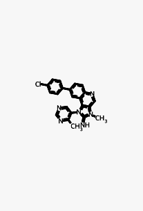 Cc1ncncc1-n1c(=N)n(C)c2cnc3ccc(-c4ccc(Cl)cc4)cc3c21